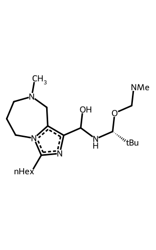 CCCCCCc1nc(C(O)N[C@H](OCNC)C(C)(C)C)c2n1CCCN(C)C2